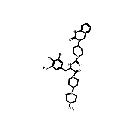 Cc1cc(CC(NC(=O)N2CCC(N3Cc4ccccc4NC3=O)CC2)C(=O)N2CCC(N3CCN(C)CC3)CC2)cc(Br)c1Cl